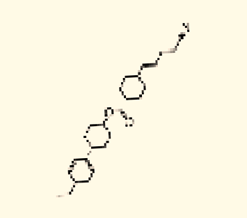 CCc1ccc([C@H]2CC[C@H](OC(=O)[C@H]3CC[C@H](C=CC=CC#N)CC3)CC2)cc1